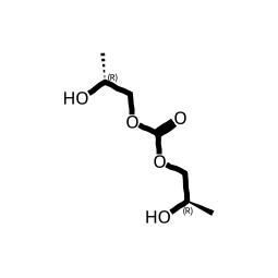 C[C@@H](O)COC(=O)OC[C@@H](C)O